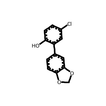 Oc1ccc(Cl)cc1-c1ccc2c(c1)OCO2